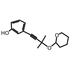 CC(C)(C#Cc1cccc(O)c1)OC1CCCCO1